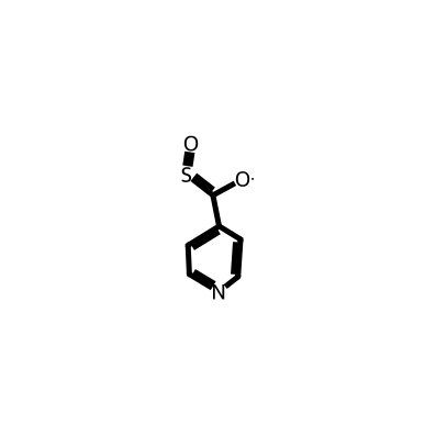 [O]C(=S=O)c1ccncc1